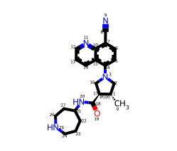 C[C@H]1CN(c2ccc(C#N)c3ncccc23)C[C@@H]1C(=O)NC1CCCNCC1